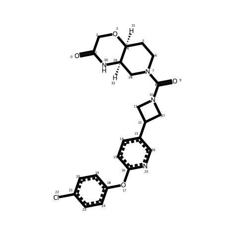 O=C1CO[C@H]2CCN(C(=O)N3CC(c4ccc(Oc5ccc(Cl)cc5)nc4)C3)C[C@H]2N1